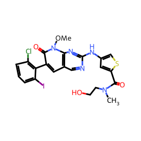 COn1c(=O)c(-c2c(Cl)cccc2I)cc2cnc(Nc3csc(C(=O)N(C)CCO)c3)nc21